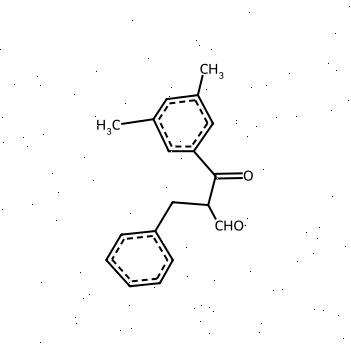 Cc1cc(C)cc(C(=O)C([C]=O)Cc2ccccc2)c1